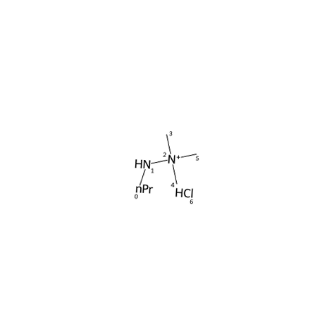 CCCN[N+](C)(C)C.Cl